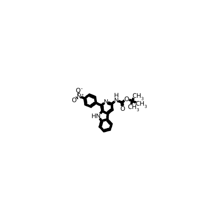 CC(C)(C)OC(=O)Nc1cc2c([nH]c3ccccc32)c(-c2ccc([N+](=O)[O-])cc2)n1